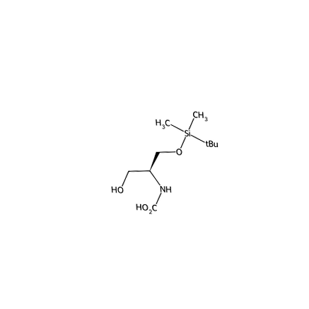 CC(C)(C)[Si](C)(C)OC[C@H](CO)NC(=O)O